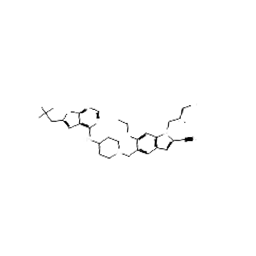 CCOc1cc2c(cc1CN1CCC(Nc3ncnc4sc(CC(F)(F)F)cc34)CC1)cc(C#N)n2C[C@H](O)CO